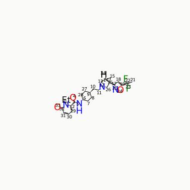 CCn1c(C(=O)N[C@H]2CC[C@H](CCN3C[C@@H]4C[C@]4(c4cc(C(C)(F)F)on4)C3)CC2)cccc1=O